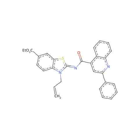 C=CCn1/c(=N/C(=O)c2cc(-c3ccccc3)nc3ccccc23)sc2cc(C(=O)OCC)ccc21